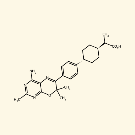 Cc1nc(N)c2c(n1)OC(C)(C)C(c1ccc([C@H]3CC[C@H](C(C)C(=O)O)CC3)cc1)=N2